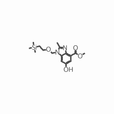 COC(=O)c1cc(O)cc2c1nc(C)n2COCC[Si](C)(C)C